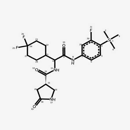 C[Si](C)(C)c1ccc(NC(=O)C(NC(=O)[C@@H]2CNC(=O)C2)C2CCC(F)(F)CC2)cc1F